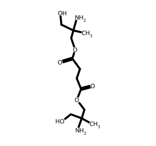 CC(N)(CO)COC(=O)CCC(=O)OCC(C)(N)CO